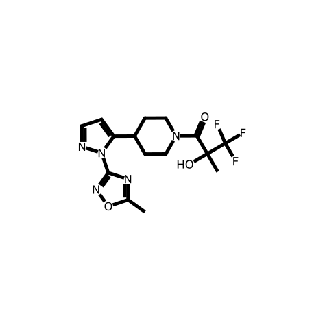 Cc1nc(-n2nccc2C2CCN(C(=O)C(C)(O)C(F)(F)F)CC2)no1